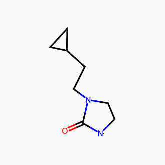 O=C1[N]CCN1CCC1CC1